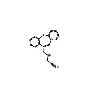 C#CCNCC1=Cc2ccccc2Oc2ccccc21